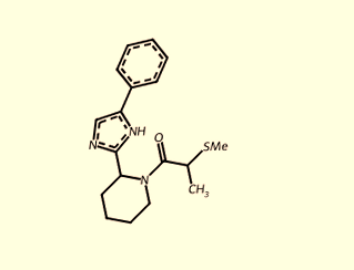 CSC(C)C(=O)N1CCCCC1c1ncc(-c2ccccc2)[nH]1